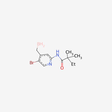 BCc1cc(NC(=O)C(C)(C)CC)ncc1Br